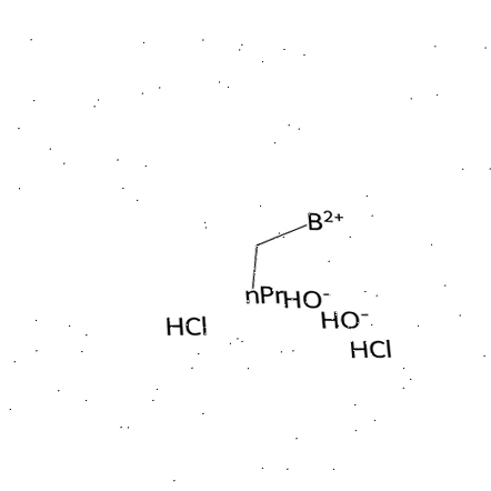 Cl.Cl.[B+2]CCCC.[OH-].[OH-]